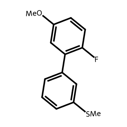 COc1ccc(F)c(-c2cccc(SC)c2)c1